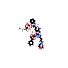 CC(C)(C)OC(=O)Nc1ccccc1NC(=O)c1ccc(CN(CCCCCN2CCOCC2)C(=O)NC2=COC=C(C3=CC=CCC3)O2)cn1